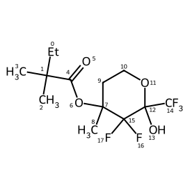 CCC(C)(C)C(=O)OC1(C)CCOC(O)(C(F)(F)F)C1(F)F